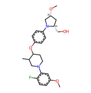 COc1ccc(F)c(N2CCC(Oc3ccc(N4C[C@H](OC)C[C@@H]4CO)cc3)C(C)C2)c1